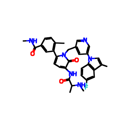 CNC(=O)c1ccc(C)c(-c2ccc(NC(=O)C(C)NC)c(=O)n2Cc2cncc(-n3cc(C)c4cc(F)ccc43)c2)c1